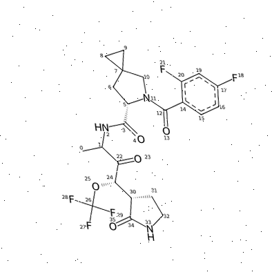 CC(NC(=O)[C@@H]1CC2(CC2)CN1C(=O)c1ccc(F)cc1F)C(=O)[C@@H](OC(F)(F)F)[C@@H]1CCNC1=O